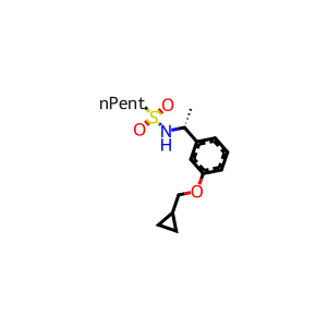 CCCCCS(=O)(=O)N[C@H](C)c1cccc(OCC2CC2)c1